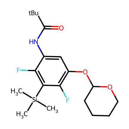 CC(C)(C)C(=O)Nc1cc(OC2CCCCO2)c(F)c([Si](C)(C)C)c1F